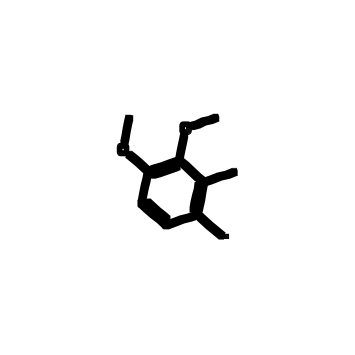 [CH2]c1ccc(OC)c(OC)c1C